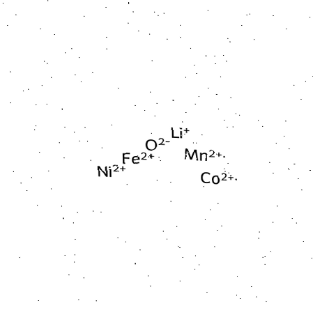 [Co+2].[Fe+2].[Li+].[Mn+2].[Ni+2].[O-2]